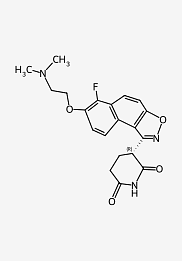 CN(C)CCOc1ccc2c(ccc3onc([C@H]4CCC(=O)NC4=O)c32)c1F